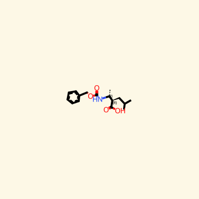 CC(C)C[C@@H](C(=O)O)[C@@H](C)NC(=O)OCc1ccccc1